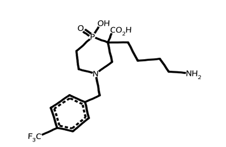 NCCCCC1(C(=O)O)CN(Cc2ccc(C(F)(F)F)cc2)CCP1(=O)O